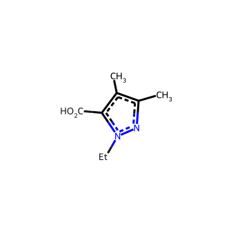 CCn1nc(C)c(C)c1C(=O)O